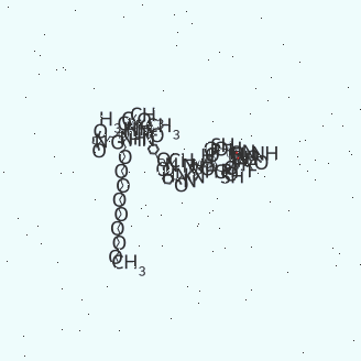 COCCOCCOCCOCCOCCOCCOCCOCCC(=O)N[C@@H](CCCCN1C(=O)C=CC1=O)C(=O)N[C@H](C(=O)N[C@@H](C)C(=O)Nc1ccc(COC(=O)N(C)Cc2ccccc2C(=O)Nc2ncnc3c2ncn3[C@H]2C[C@@H]3O[P@](=O)(S)OC[C@H]4O[C@@H](n5cc(F)c6c(=O)[nH]cnc65)[C@H](O[P@](=O)(S)OC[C@H]3O2)[C@@H]4O)cc1)C(C)C